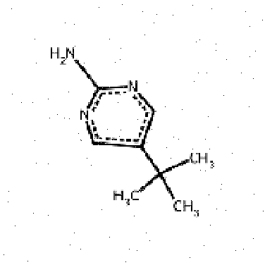 CC(C)(C)c1cnc(N)nc1